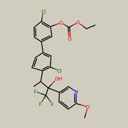 CCOC(=O)Oc1cc(-c2ccc(C(C)C(O)(c3ccc(OC)nc3)C(F)(F)F)c(Cl)c2)ccc1Cl